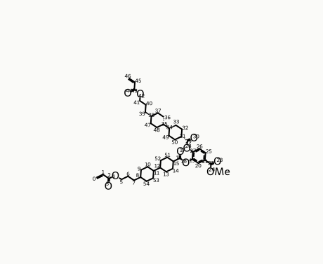 C=CC(=O)OCCCC1CCC(C2CCC(C(=O)Oc3cc(C(=O)OC)ccc3OC(=O)[C@H]3CC[C@H]([C@H]4CC[C@H](CCCOC(=O)C=C)CC4)CC3)CC2)CC1